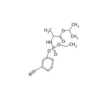 CCOP(=O)(NC(C)C(=O)OC(C)C)Oc1cccc(C#N)c1